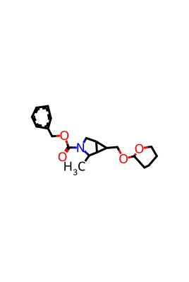 CC1C2C(COC3CCCCO3)C2CN1C(=O)OCc1ccccc1